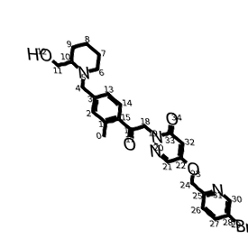 Cc1cc(CN2CCCCC2CO)ccc1C(=O)Cn1ncc(OCc2ccc(Br)cn2)cc1=O